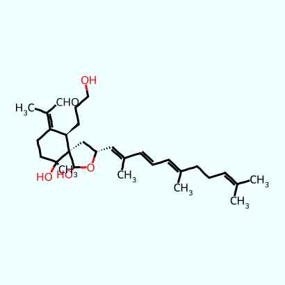 CC(C)=CCC/C(C)=C/C=C/C(C)=C/[C@H]1C[C@@]2(C(O)O1)[C@H](CCCO)/C(=C(/C)C=O)CC[C@]2(C)O